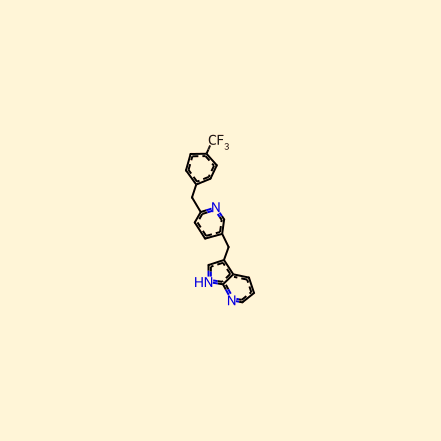 FC(F)(F)c1ccc(Cc2ccc(Cc3c[nH]c4ncccc34)cn2)cc1